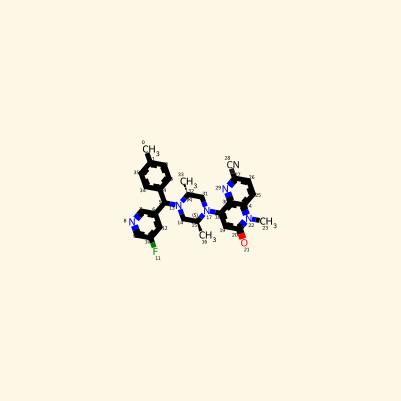 Cc1ccc(C(c2cncc(F)c2)N2C[C@H](C)N(c3cc(=O)n(C)c4ccc(C#N)nc34)C[C@H]2C)cc1